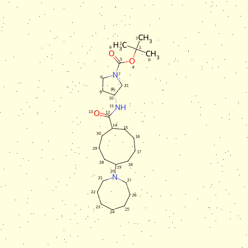 CC(C)(C)OC(=O)N1CC[C@@H](NC(=O)C2CCCCC(N3CCCCCCC3)CCC2)C1